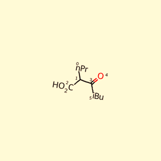 CCCC(C(=O)O)C(=O)C(C)CC